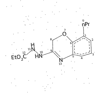 CCCc1cccc2c1OCC(NNC(=O)OCC)=N2